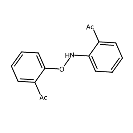 CC(=O)c1ccccc1NOc1ccccc1C(C)=O